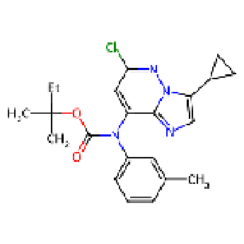 CCC(C)(C)OC(=O)N(c1cccc(C)c1)c1cc(Cl)nn2c(C3CC3)cnc12